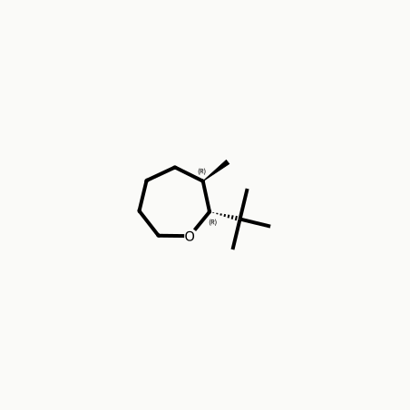 C[C@@H]1CCCCO[C@H]1C(C)(C)C